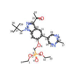 CCOP(=O)(COc1cc2c(cc1-c1cnc(C)nc1)c(C(C)=O)nn2CC(C)(C)C)OCC